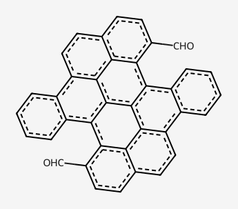 O=Cc1ccc2ccc3c4ccccc4c4c5c(C=O)ccc6ccc7c8ccccc8c8c1c2c3c4c8c7c65